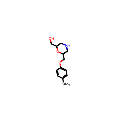 COc1ccc(OCC2CNCC(CO)O2)cc1